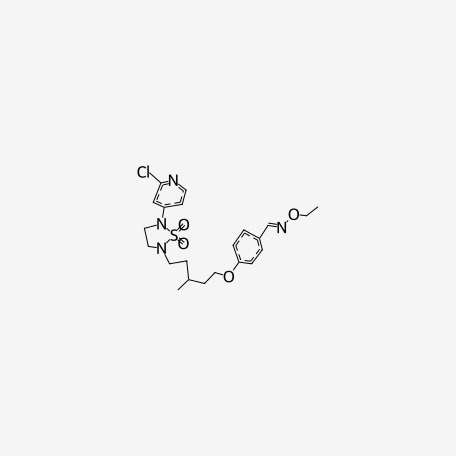 CCO/N=C/c1ccc(OCCC(C)CCN2CCN(c3ccnc(Cl)c3)S2(=O)=O)cc1